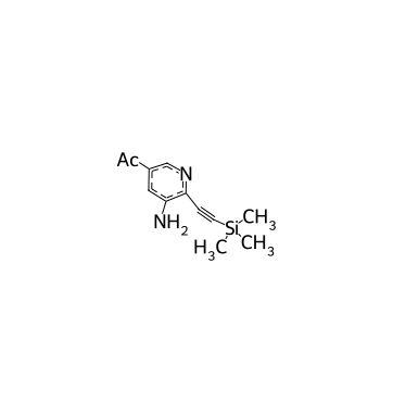 CC(=O)c1cnc(C#C[Si](C)(C)C)c(N)c1